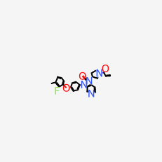 C=CC(=O)N1CCC(n2c(=O)n(-c3ccc(Oc4cccc(C)c4F)cc3)c3cnccc32)C1